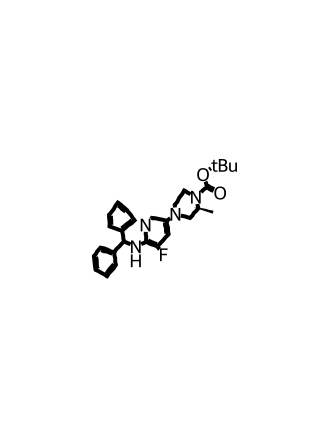 C[C@H]1CN(c2cnc(NC(c3ccccc3)c3ccccc3)c(F)c2)CCN1C(=O)OC(C)(C)C